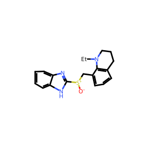 CCN1CCCc2cccc(C[S+]([O-])c3nc4ccccc4[nH]3)c21